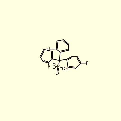 O=P(O)(O)C(c1ccc(F)cc1)(c1ccccc1F)c1ccccc1Cl